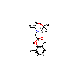 Cc1cccc(C)c1OC(=O)CN1CC(C)(C)OCC1C